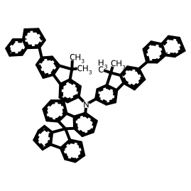 CC1(C)c2cc(-c3ccc4ccccc4c3)ccc2-c2ccc(N(c3ccc4c(c3)C(C)(C)c3cc(-c5cccc6ccccc56)ccc3-4)c3cccc4c3-c3ccccc3C43c4ccccc4-c4ccccc43)cc21